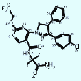 CC(C)(NC(=O)c1cnc(OCC(F)(F)F)nc1N1CC(c2ccccc2)C(c2ccc(Cl)cc2)=N1)C(N)=O